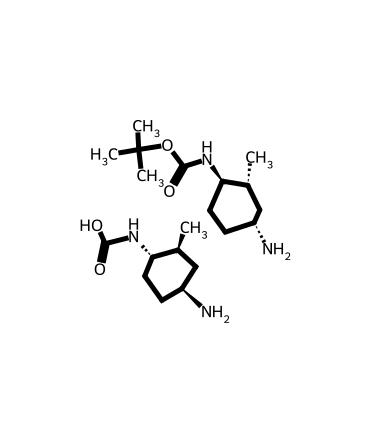 C[C@@H]1C[C@H](N)CC[C@H]1NC(=O)OC(C)(C)C.C[C@H]1C[C@@H](N)CC[C@@H]1NC(=O)O